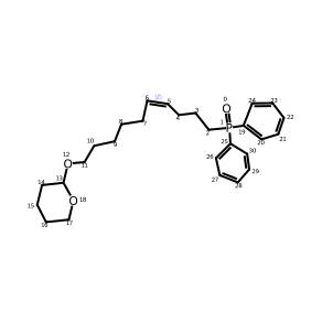 O=P(CCC/C=C\CCCCCOC1CCCCO1)(c1ccccc1)c1ccccc1